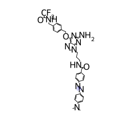 CN(C)c1ccc(/N=N/c2ccc(C(=O)NCCCn3cnc4c(OCc5ccc(CNC(=O)C(F)(F)F)cc5)nc(N)nc43)cc2)cc1